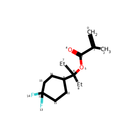 C=C(C)C(=O)OC(CC)(CC)C1CCC(F)(F)CC1